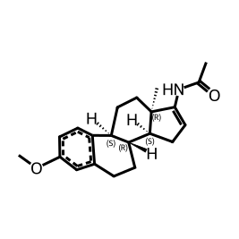 COc1ccc2c(c1)CC[C@@H]1[C@@H]2CC[C@@]2(C)C(NC(C)=O)=CC[C@@H]12